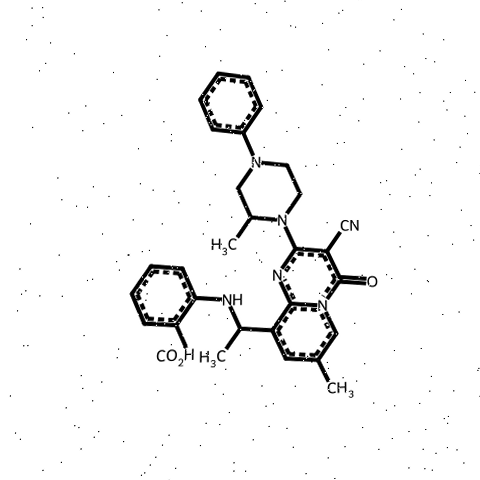 Cc1cc(C(C)Nc2ccccc2C(=O)O)c2nc(N3CCN(c4ccccc4)CC3C)c(C#N)c(=O)n2c1